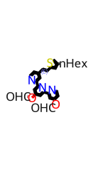 CCCCCCc1csc(/C=C/c2ccnc(-c3cc(OC=O)cc(-c4cc(OC=O)ccn4)n3)c2)c1